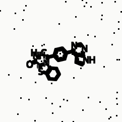 CC(c1ccc(-c2ncnc3[nH]ccc23)cc1)N1C2=C(CCCC2)S[C@H]1C(N)=O